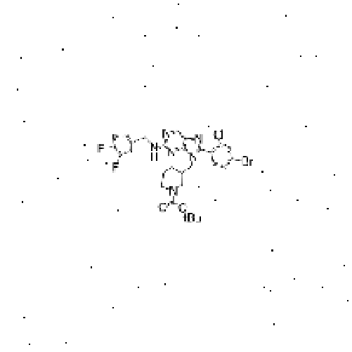 CC(C)(C)OC(=O)N1CCCC(Cn2c(-c3ccc(Br)cc3Cl)nc3cnc(NCc4ccc(F)c(F)c4)nc32)C1